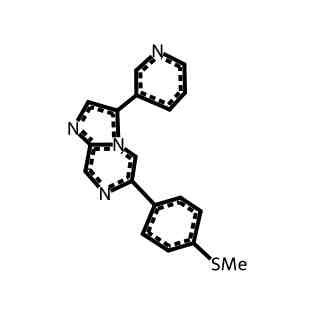 CSc1ccc(-c2cn3c(-c4cccnc4)cnc3cn2)cc1